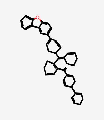 C=C(C1=CCC(C2=CCCC=C2)C=C1)C1=C(/C(=C2/C=CCCC2)C2C=CC(c3ccc4oc5ccccc5c4c3)=CC2)CCC=C1